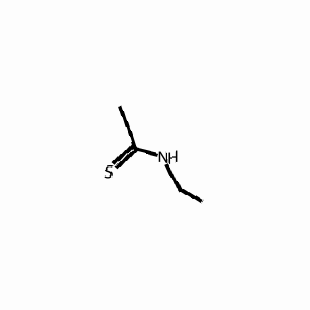 CCNC(C)=S